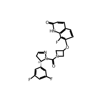 O=C(N1CC(Oc2ccc3ccc(=O)[nH]c3c2F)C1)N1N=CC[C@H]1c1cc(F)cc(F)c1